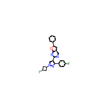 Fc1ccc(-c2nn(C3CC(F)C3)cc2-c2ncc3cc(-c4ccccc4)oc3n2)cc1